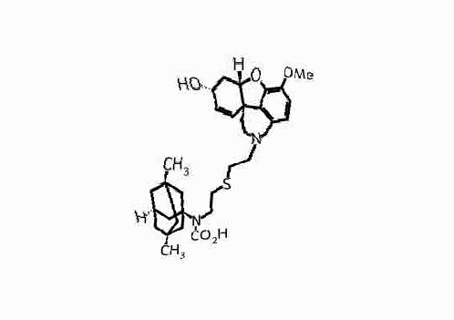 COc1ccc2c3c1O[C@H]1C[C@@H](O)C=C[C@@]31CCN(CCSCCN(C(=O)O)[C@]13C[C@@H]4C[C@@](C)(C[C@@](C)(C4)C1)C3)C2